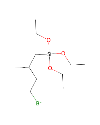 CCO[Si](CC(C)CCBr)(OCC)OCC